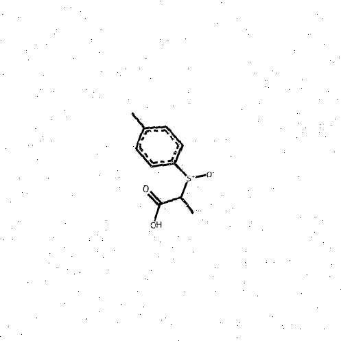 Cc1ccc([S+]([O-])C(C)C(=O)O)cc1